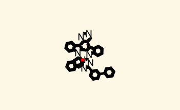 c1ccc(-c2cccc(-c3nc(-c4ccccc4)nc(-n4c5ccccc5c5c6cncnc6c6c7ccccc7n(-c7ccccc7)c6c54)n3)c2)cc1